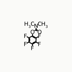 CN(C)C(=O)Oc1c(F)c(F)c(F)c(F)c1F